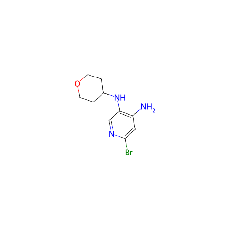 Nc1cc(Br)ncc1NC1CCOCC1